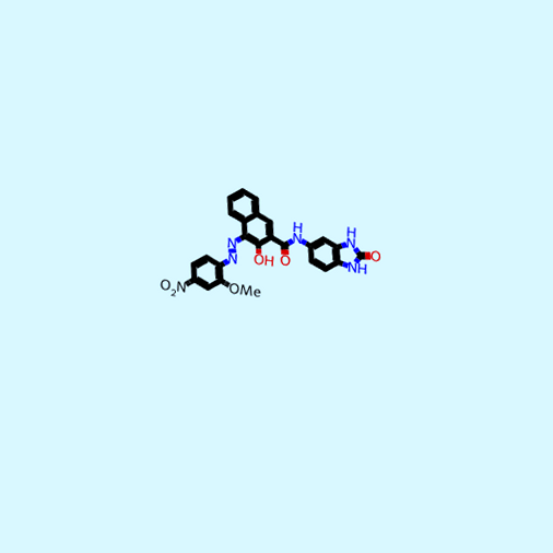 COc1cc([N+](=O)[O-])ccc1N=Nc1c(O)c(C(=O)Nc2ccc3[nH]c(=O)[nH]c3c2)cc2ccccc12